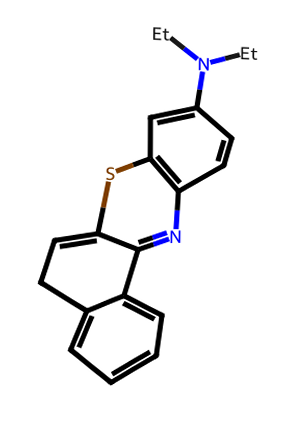 CCN(CC)c1ccc2c(c1)SC1=CCc3ccccc3C1=N2